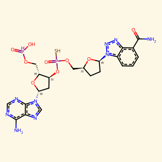 NC(=O)c1cccc2c1nnn2[C@H]1CC[C@@H](COP(=O)(S)O[C@H]2C[C@H](n3cnc4c(N)ncnc43)O[C@@H]2CO[PH](=O)O)O1